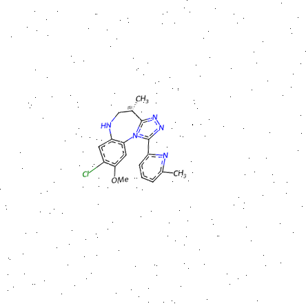 COc1cc2c(cc1Cl)NC[C@H](C)c1nnc(-c3cccc(C)n3)n1-2